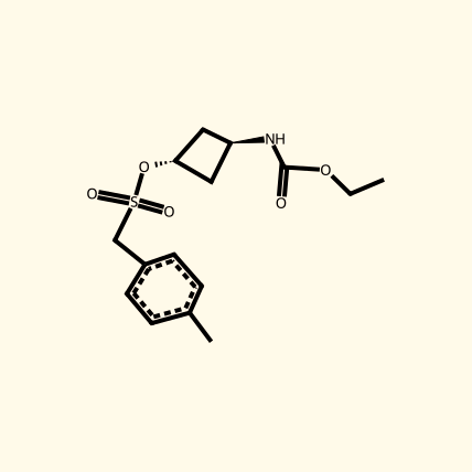 CCOC(=O)N[C@H]1C[C@H](OS(=O)(=O)Cc2ccc(C)cc2)C1